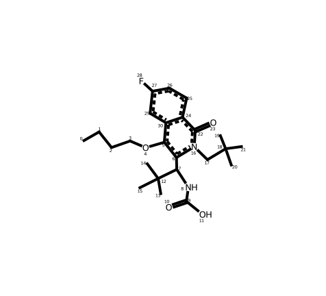 CCCCOc1c(C(NC(=O)O)C(C)(C)C)n(CC(C)(C)C)c(=O)c2ccc(F)cc12